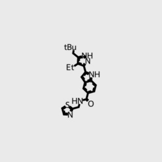 CCc1c(-c2cc3cc(C(=O)NCc4nccs4)ccc3[nH]2)n[nH]c1CC(C)(C)C